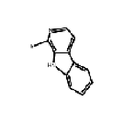 [Ir][c]1nccc2c1[nH]c1ccccc12